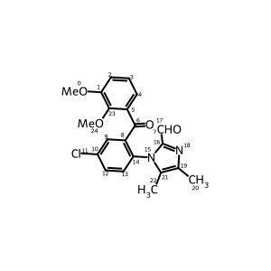 COc1cccc(C(=O)c2cc(Cl)ccc2-n2c(C=O)nc(C)c2C)c1OC